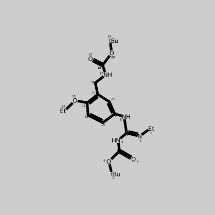 CC/N=C(/NC(=O)OC(C)(C)C)Nc1ccc(OCC)c(CNC(=O)OC(C)(C)C)c1